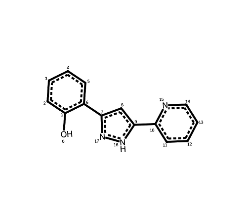 Oc1ccccc1-c1cc(-c2ccccn2)[nH]n1